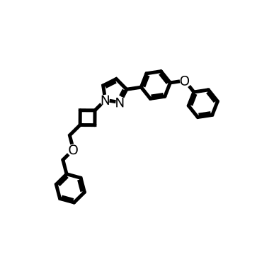 c1ccc(COCC2CC(n3ccc(-c4ccc(Oc5ccccc5)cc4)n3)C2)cc1